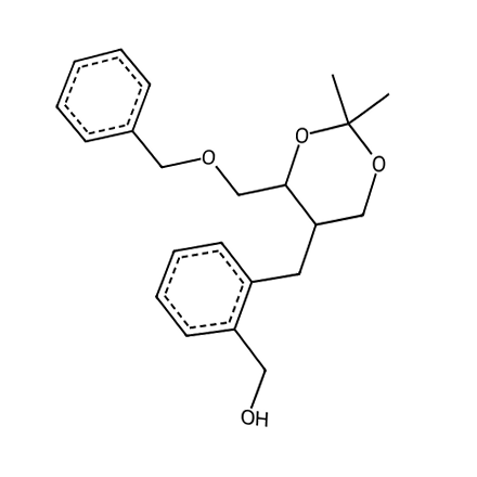 CC1(C)OCC(Cc2ccccc2CO)C(COCc2ccccc2)O1